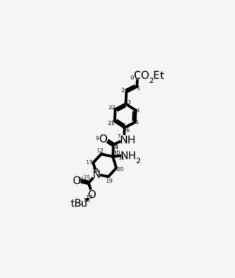 CCOC(=O)C=Cc1ccc(NC(=O)C2(N)CCN(C(=O)OC(C)(C)C)CC2)cc1